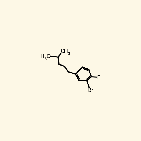 CC(C)CCCc1ccc(F)c(Br)c1